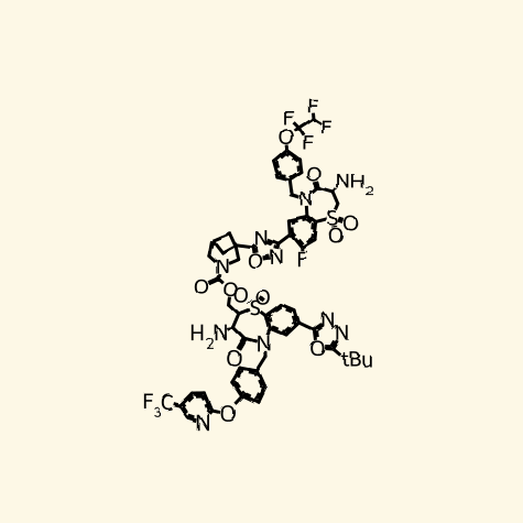 CC(C)(C)c1nnc(-c2ccc3c(c2)N(Cc2ccc(Oc4ccc(C(F)(F)F)cn4)cc2)C(=O)[C@@H](N)C(COC(=O)N2CC4CC(c5nc(-c6cc7c(cc6F)S(=O)(=O)C[C@H](N)C(=O)N7Cc6ccc(OC(F)(F)C(F)F)cc6)no5)(C4)C2)S3(=O)=O)o1